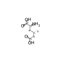 C[C@H](CC(=O)O)C[C@H](N)C(=O)O